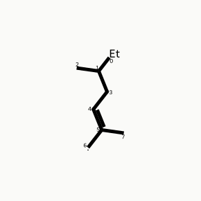 [CH2]CC(C)CC=C([CH2])C